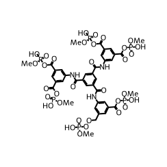 COP(=O)(O)OOCc1cc(NC(=O)c2cc(C(=O)Nc3cc(C(=O)OP(=O)(O)OC)cc(C(=O)OP(=O)(O)OC)c3)cc(C(=O)Nc3cc(C(=O)OP(=O)(O)OC)cc(C(=O)OP(=O)(O)OC)c3)c2)cc(C(=O)OP(=O)(O)OC)c1